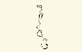 OCCOCCOc1ccc(C2CCCCC2)cc1